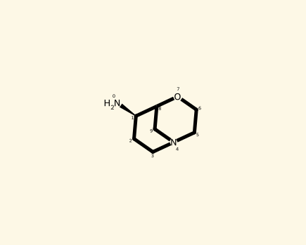 N[C@@H]1CCN2CCOC1C2